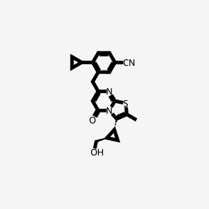 Cc1sc2nc(Cc3cc(C#N)ccc3C3CC3)cc(=O)n2c1[C@@H]1C[C@H]1CO